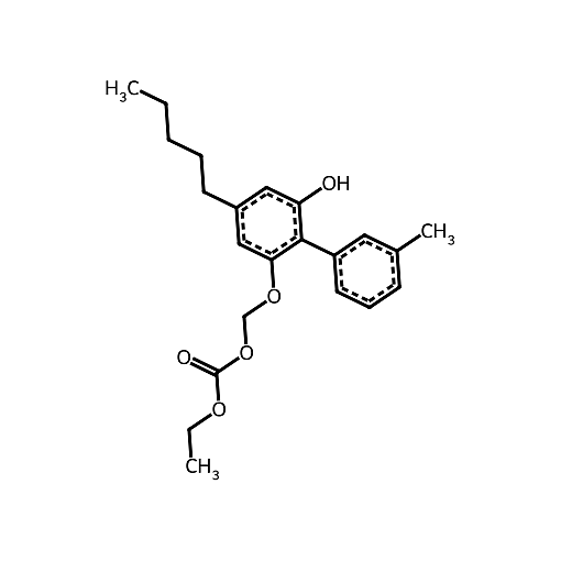 CCCCCc1cc(O)c(-c2cccc(C)c2)c(OCOC(=O)OCC)c1